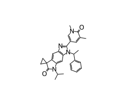 Cc1cc(-c2nc3cc4c(cc3n2C(C)c2ccccc2)N(C(C)C)C(=O)C42CC2)cn(C)c1=O